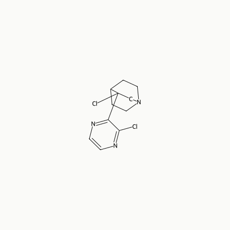 Clc1nccnc1C1(Cl)CN2CCC1CC2